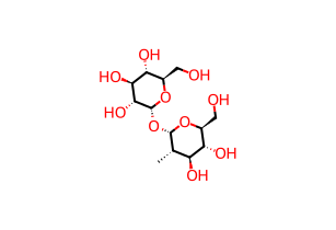 C[C@@H]1[C@H](O[C@H]2O[C@H](CO)[C@@H](O)[C@H](O)[C@H]2O)O[C@@H](CO)[C@H](O)[C@H]1O